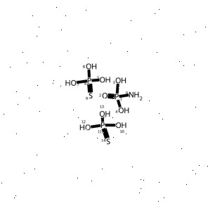 NP(=O)(O)O.OP(O)(O)=S.OP(O)(O)=S